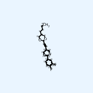 C=CCCC1COC(C#Cc2cnc(-c3ccc(F)c(F)c3)nc2)OC1